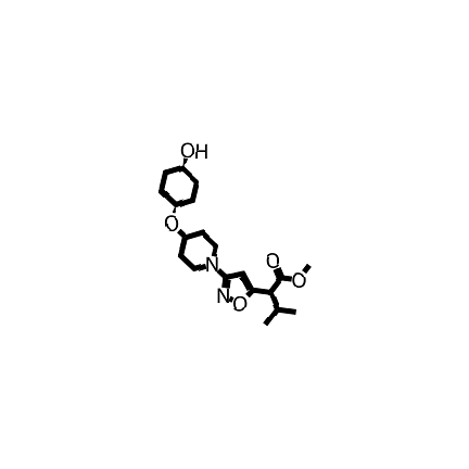 COC(=O)C(c1cc(N2CCC(O[C@H]3CC[C@H](O)CC3)CC2)no1)C(C)C